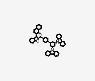 c1ccc2c(c1)ccc1c2nc(-c2ccc(-c3cc(-n4c5ccccc5c5ccccc54)cc(-n4c5ccccc5c5ccccc54)c3)cc2)c2oc3ccccc3c21